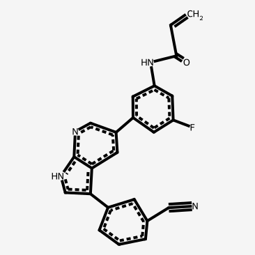 C=CC(=O)Nc1cc(F)cc(-c2cnc3[nH]cc(-c4cccc(C#N)c4)c3c2)c1